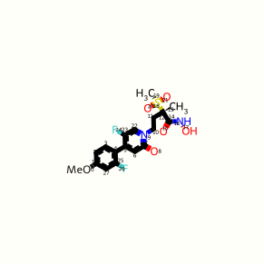 COc1ccc(-c2cc(=O)n(CC[C@](C)(C(=O)NO)S(C)(=O)=O)cc2F)c(F)c1